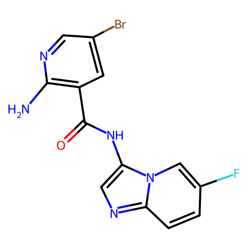 Nc1ncc(Br)cc1C(=O)Nc1cnc2ccc(F)cn12